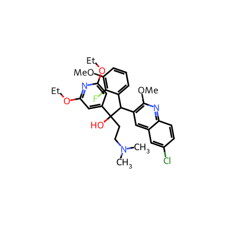 CCOc1cc(C(O)(CCN(C)C)C(c2cc3cc(Cl)ccc3nc2OC)c2cccc(OC)c2F)cc(OCC)n1